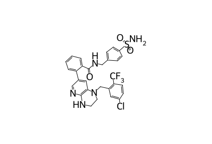 NS(=O)(=O)c1ccc(CNC(=O)c2ccccc2-c2cnc3c(c2)N(Cc2cc(Cl)ccc2C(F)(F)F)CCN3)cc1